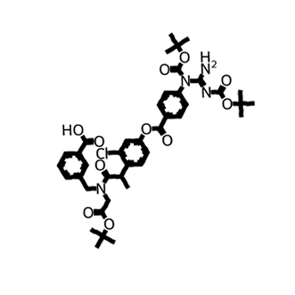 CC(C(=O)N(CC(=O)OC(C)(C)C)Cc1cccc(C(=O)O)c1)c1ccc(OC(=O)c2ccc(N(C(=O)OC(C)(C)C)C(N)=NC(=O)OC(C)(C)C)cc2)cc1Cl